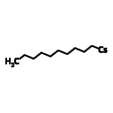 CCCCCCCCC[CH2][Cs]